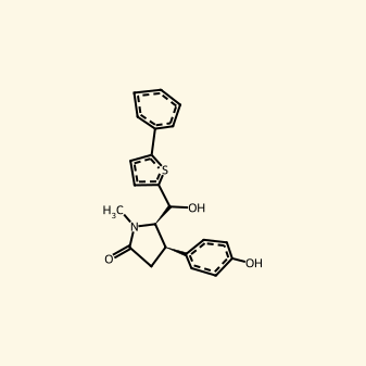 CN1C(=O)C[C@H](c2ccc(O)cc2)[C@@H]1C(O)c1ccc(-c2ccccc2)s1